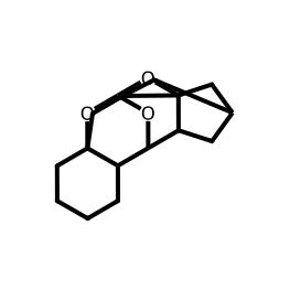 C1CCC23CC4CC5CC6C(OC(O2)OC46C5)C3C1